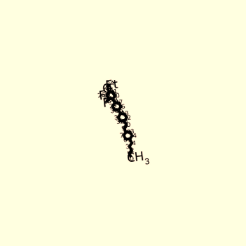 C/C=C/CCC1CCC(/C=C/C2CCC(C3CCC(c4ccc(OCC)c(F)c4F)CC3)CC2)CC1